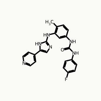 Cc1ccc(NC(=O)Nc2ccc(F)cc2)cc1Nc1ncc(-c2ccncc2)[nH]1